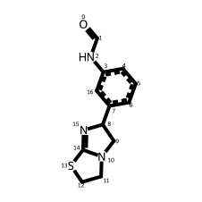 O=CNc1cccc(C2CN3CCSC3=N2)c1